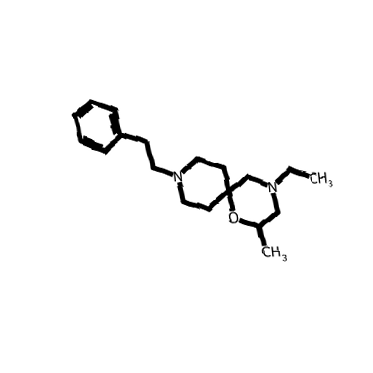 CCN1CC(C)OC2(CCN(CCc3ccccc3)CC2)C1